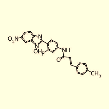 Cc1ccc(/C=C/C(=O)Nc2ccc(-c3nc4ccc([N+](=O)[O-])cc4n3O)c(F)c2)cc1